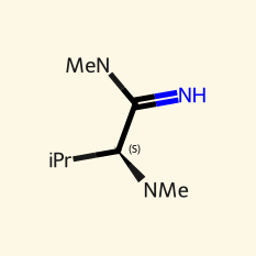 CNC(=N)[C@@H](NC)C(C)C